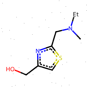 CCN(C)Cc1nc(CO)cs1